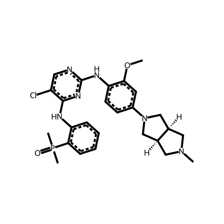 COc1cc(N2C[C@H]3CN(C)C[C@H]3C2)ccc1Nc1ncc(Cl)c(Nc2ccccc2P(C)(C)=O)n1